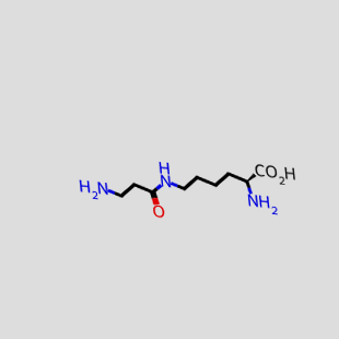 NCCC(=O)NCCCC[C@H](N)C(=O)O